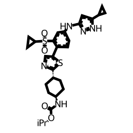 CC(C)OC(=O)N[C@H]1CC[C@H](c2ncc(-c3ccc(Nc4cc(C5CC5)[nH]n4)cc3S(=O)(=O)C3CC3)s2)CC1